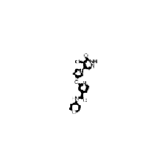 O=C(NC1CCOCC1)c1ccnc(O[C@@H]2CCN(c3cn[nH]c(=O)c3Cl)C2)c1